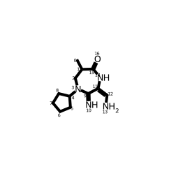 CC1CN(C2CCCC2)C(=N)/C(=C\N)NC1=O